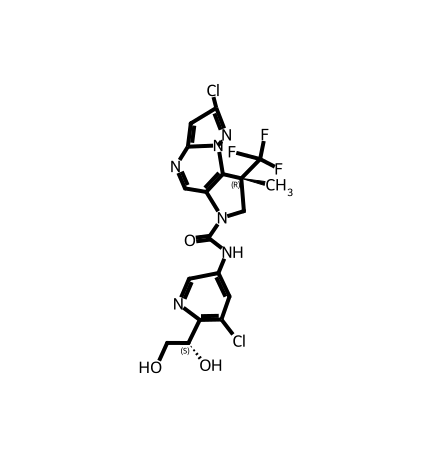 C[C@@]1(C(F)(F)F)CN(C(=O)Nc2cnc([C@H](O)CO)c(Cl)c2)c2cnc3cc(Cl)nn3c21